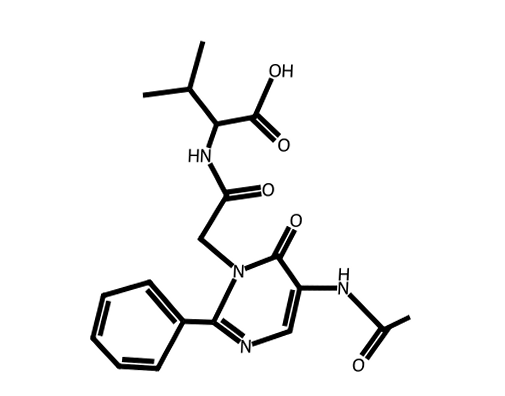 CC(=O)Nc1cnc(-c2ccccc2)n(CC(=O)NC(C(=O)O)C(C)C)c1=O